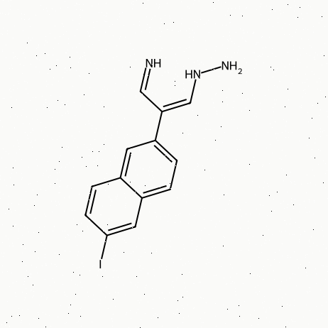 N=C/C(=C\NN)c1ccc2cc(I)ccc2c1